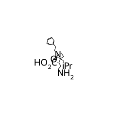 CC(C)CC1(C(CCN)C(=O)O)CCN(CCc2ccccc2)C1=O